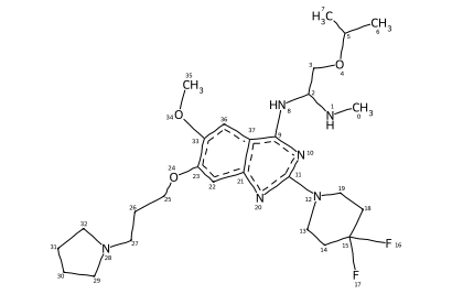 CNC(COC(C)C)Nc1nc(N2CCC(F)(F)CC2)nc2cc(OCCCN3CCCC3)c(OC)cc12